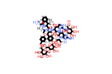 CCCOc1ccc(COCC2OC(OC3C(CO)OC(Oc4ccc(CC(NC(=O)C(NC(=O)CN)C(C)c5ccccc5)C(=O)NC(C(=O)NC(C(=O)NC([C]=O)CO)C(O)C5CNC(=N)N5C5OC(CO)C(O)C(O)C5O)C(O)C5CNC(=N)N5)cc4)C(O)C3O)C(O)C(O)C2O)cc1